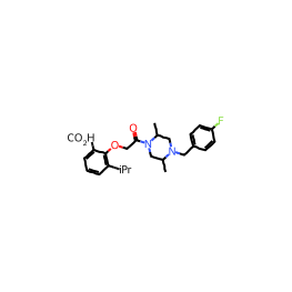 CC(C)c1cccc(C(=O)O)c1OCC(=O)N1CC(C)N(Cc2ccc(F)cc2)CC1C